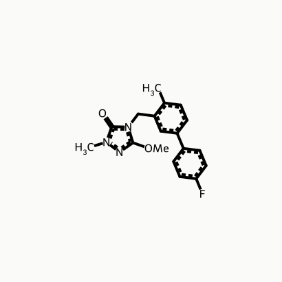 COc1nn(C)c(=O)n1Cc1cc(-c2ccc(F)cc2)ccc1C